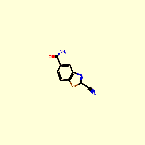 N#Cc1nc2cc(C(N)=O)ccc2s1